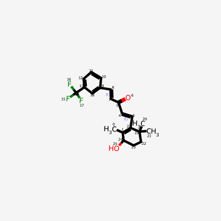 CC1=C(/C=C/C(=O)/C=C/c2cccc(C(F)(F)F)c2)C(C)(C)CCC1O